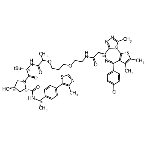 Cc1ncsc1-c1ccc([C@H](C)NC(=O)[C@@H]2C[C@@H](O)CN2C(=O)[C@@H](NC(=O)C(C)OCCCOCCNC(=O)C[C@@H]2N=C(c3ccc(Cl)cc3)c3c(sc(C)c3C)-n3c(C)nnc32)C(C)(C)C)cc1